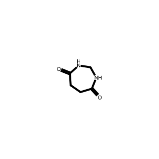 O=C1CCC(=O)NCN1